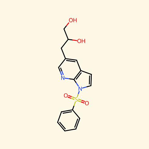 O=S(=O)(c1ccccc1)n1ccc2cc(CC(O)CO)cnc21